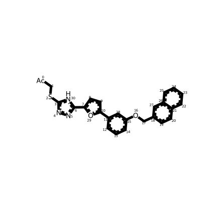 CC(=O)CSc1nnc(-c2ccc(-c3cccc(OCc4ccc5ccccc5c4)c3)o2)[nH]1